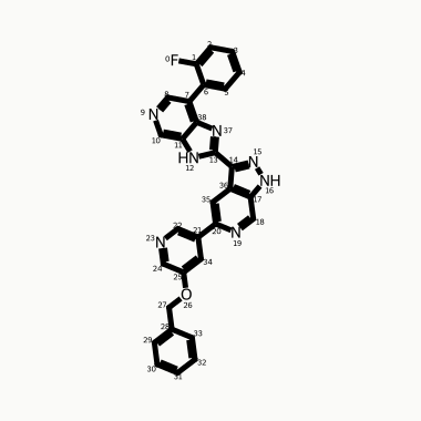 Fc1ccccc1-c1cncc2[nH]c(-c3n[nH]c4cnc(-c5cncc(OCc6ccccc6)c5)cc34)nc12